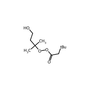 CC(C)(C)CC(=O)OOC(C)(C)CCO